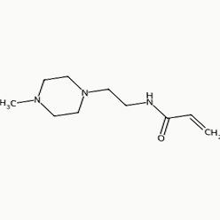 C=CC(=O)NCCN1CCN(C)CC1